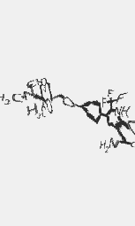 CN(C)C[C@]1(C)COC[C@@H](COc2ccc(-c3cc(C(N)=O)c(=O)[nH]c3C(F)(F)F)cc2)O1